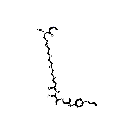 C=CCCc1ccc(NC(=O)CNC(=O)C(NC(=O)CCOCCOCCOCCOCCN(C=O)C(=O)/C=C\C)C(C)C)cc1